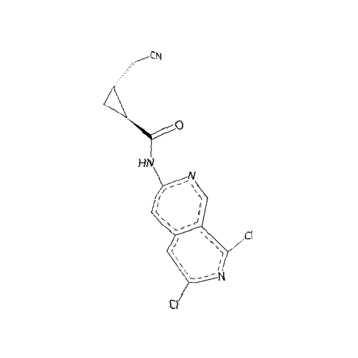 N#CC[C@H]1C[C@@H]1C(=O)Nc1cc2cc(Cl)nc(Cl)c2cn1